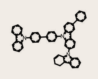 C1=Cc2c(c3ccccc3n2-c2ccc3c4cc(-c5ccccc5)ccc4n(-c4ccc(-c5ccc(-n6c7ccccc7c7ccccc76)cc5)cc4)c3c2)CC1